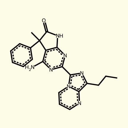 CCCc1nc(-c2nc(N)c3c(n2)NC(=O)C3(C)c2ccccc2)n2cccnc12